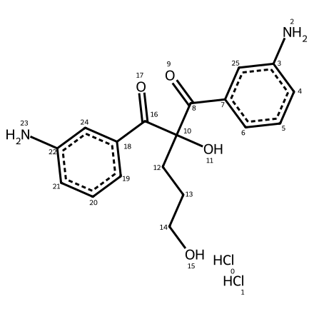 Cl.Cl.Nc1cccc(C(=O)C(O)(CCCO)C(=O)c2cccc(N)c2)c1